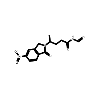 CC(CCC(=O)NC=O)N1Cc2cc([N+](=O)[O-])ccc2C1=O